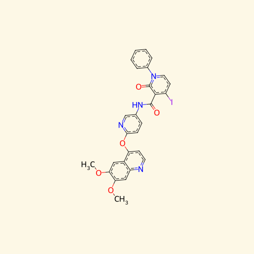 COc1cc2nccc(Oc3ccc(NC(=O)c4c(I)ccn(-c5ccccc5)c4=O)cn3)c2cc1OC